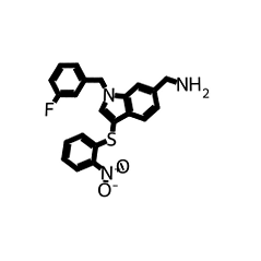 NCc1ccc2c(Sc3ccccc3[N+](=O)[O-])cn(Cc3cccc(F)c3)c2c1